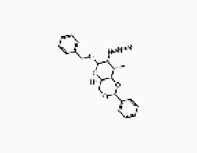 [N-]=[N+]=NC1C(OCc2ccccc2)O[C@@H]2COC(c3ccccc3)OC2[C@H]1F